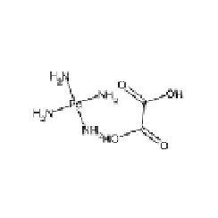 O=C(O)C(=O)O.[NH2][Pd]([NH2])([NH2])[NH2]